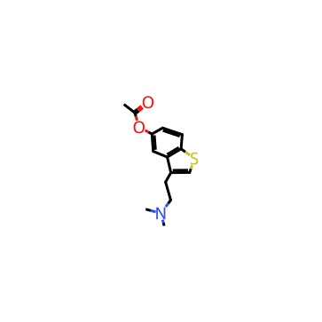 CC(=O)Oc1ccc2scc(CCN(C)C)c2c1